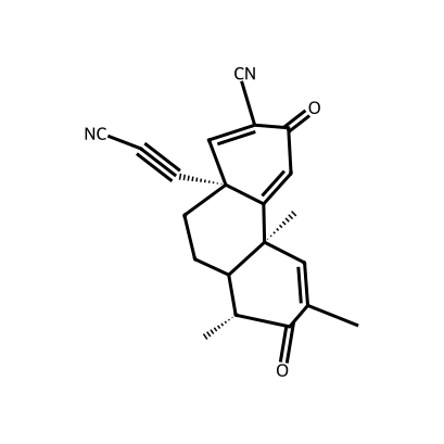 CC1=C[C@]2(C)C3=CC(=O)C(C#N)=C[C@]3(C#CC#N)CCC2[C@@H](C)C1=O